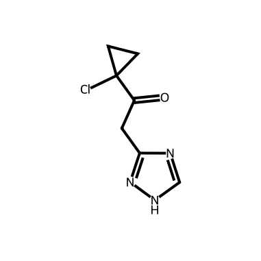 O=C(Cc1nc[nH]n1)C1(Cl)CC1